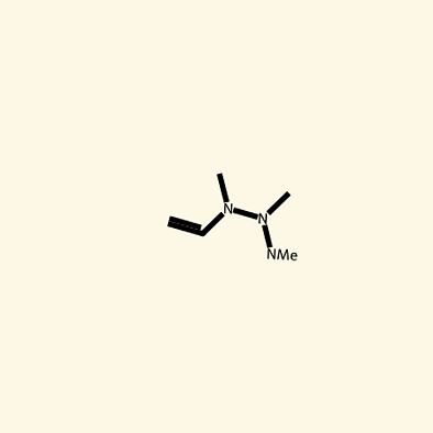 C=CN(C)N(C)NC